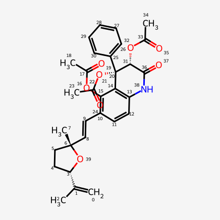 C=C(C)[C@@H]1CC[C@](C)(/C=C/c2ccc3c(c2OC(C)=O)[C@@](OC(C)=O)(c2ccccc2)[C@H](OC(C)=O)C(=O)N3)O1